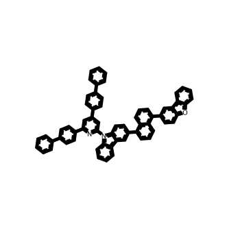 c1ccc(-c2ccc(-c3cc(-c4ccc(-c5ccccc5)cc4)nc(-n4c5ccccc5c5cc(-c6cccc7c(-c8ccc9oc%10ccccc%10c9c8)cccc67)ccc54)c3)cc2)cc1